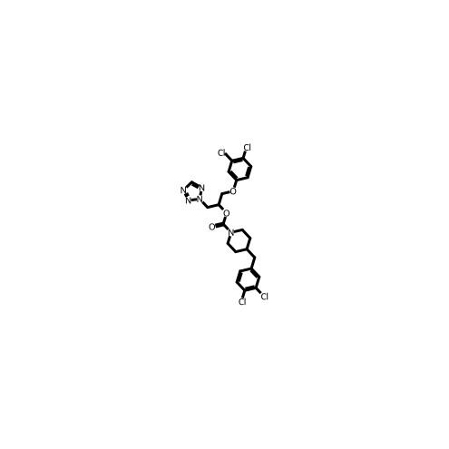 O=C(OC(COc1ccc(Cl)c(Cl)c1)Cn1ncnn1)N1CCC(Cc2ccc(Cl)c(Cl)c2)CC1